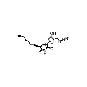 C#CCCCCC#Cc1cn([C@H]2C[C@H](O)[C@@H](CN=[N+]=[N-])O2)c(=O)[nH]c1=O